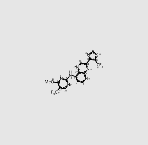 COc1nc(Nc2ccnc3nc(-c4ncsc4C(F)(F)F)cnc23)ncc1C(F)(F)F